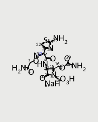 NC(=O)CO/N=C(\C(=O)N[C@@H]1C(=O)N(S(=O)(=O)O)[C@@H]1COC(N)=O)c1csc(N)n1.[NaH]